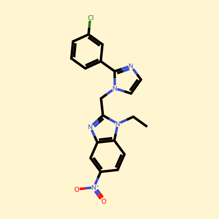 CCn1c(Cn2ccnc2-c2cccc(Cl)c2)nc2cc([N+](=O)[O-])ccc21